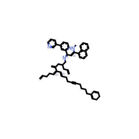 C=CCC/C=C(/C=C/CCC#CCCCCC1=CCCC=C1)C(=C)CC(CC=C)C/N=C(\C=C(/NC)c1cccc2ccccc12)c1cccc(-c2cccnc2)c1